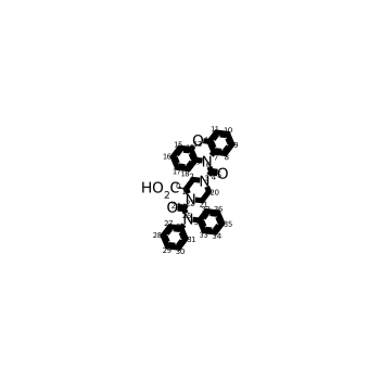 O=C(O)[C@@H]1CN(C(=O)N2c3ccccc3Oc3ccccc32)CCN1C(=O)N(c1ccccc1)c1ccccc1